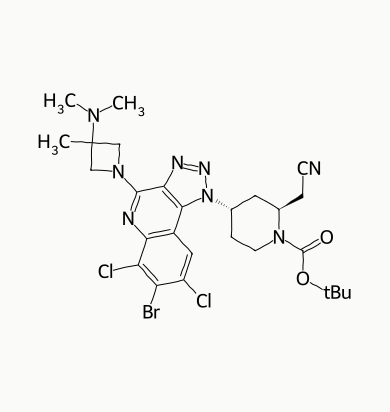 CN(C)C1(C)CN(c2nc3c(Cl)c(Br)c(Cl)cc3c3c2nnn3[C@H]2CCN(C(=O)OC(C)(C)C)[C@H](CC#N)C2)C1